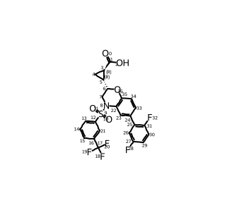 O=C(O)[C@@H]1C[C@H]1C1CN(S(=O)(=O)c2cccc(C(F)(F)F)c2)c2cc(-c3cc(F)ccc3F)ccc2O1